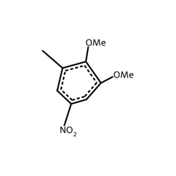 COc1cc([N+](=O)[O-])cc(C)c1OC